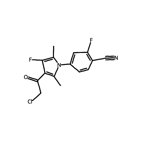 Cc1c(F)c(C(=O)CCl)c(C)n1-c1ccc(C#N)c(F)c1